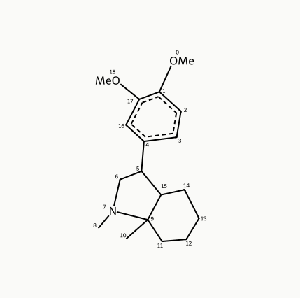 COc1ccc(C2CN(C)C3(C)CCCCC23)cc1OC